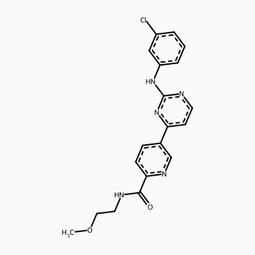 COCCNC(=O)c1ccc(-c2ccnc(Nc3cccc(Cl)c3)n2)cn1